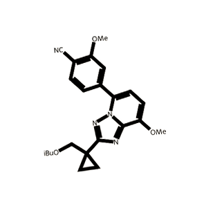 COc1cc(-c2ccc(OC)c3nc(C4(COCC(C)C)CC4)nn23)ccc1C#N